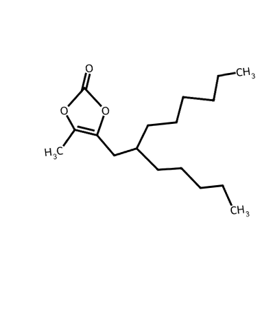 CCCCCCC(CCCCC)Cc1oc(=O)oc1C